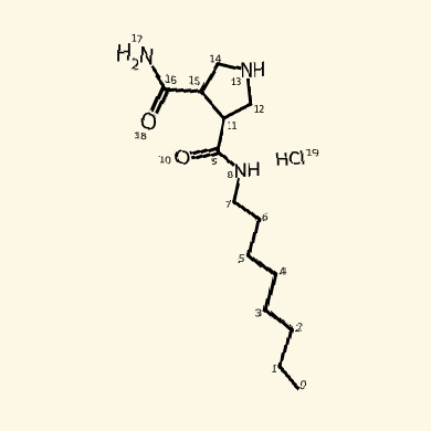 CCCCCCCCNC(=O)C1CNCC1C(N)=O.Cl